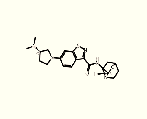 CN(C)[C@@H]1CCN(c2ccc3c(C(=O)N[C@@H]4CC5CCN4CC5)nsc3c2)C1